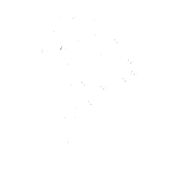 Cc1nc(-c2nnn(C)c2CNc2nccc(OCC3CC3)n2)ccc1O[C@H]1CCC[C@H](C(=O)O)C1